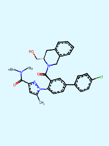 CCCCN(CCCC)C(=O)c1cc(C)n(-c2ccc(-c3ccc(Cl)cc3)cc2C(=O)N2Cc3ccccc3C[C@H]2CO)n1